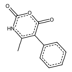 Cc1[nH]c(=O)oc(=O)c1-c1ccccc1